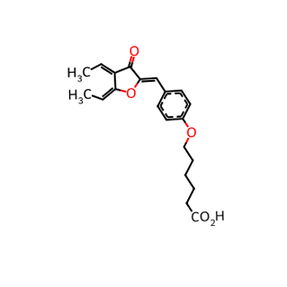 C/C=C1/O/C(=C\c2ccc(OCCCCCC(=O)O)cc2)C(=O)/C1=C/C